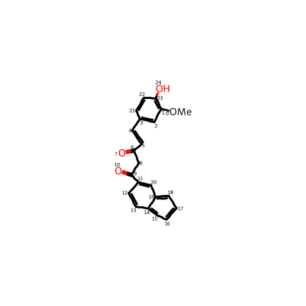 COc1cc(C=CC(=O)CC(=O)c2ccc3ccccc3c2)ccc1O